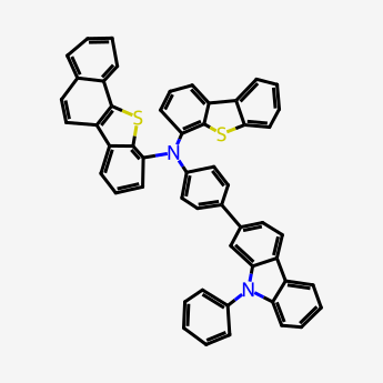 c1ccc(-n2c3ccccc3c3ccc(-c4ccc(N(c5cccc6c5sc5ccccc56)c5cccc6c5sc5c7ccccc7ccc65)cc4)cc32)cc1